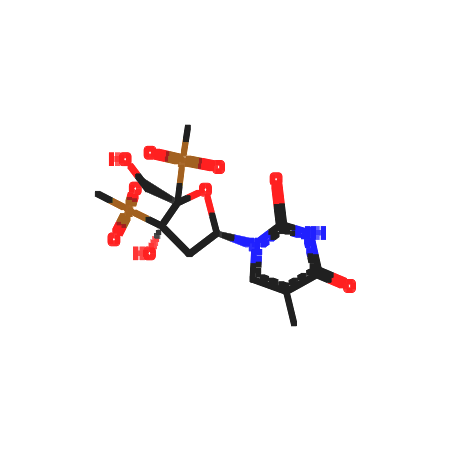 Cc1cn([C@H]2C[C@@](O)(S(C)(=O)=O)[C@](CO)(S(C)(=O)=O)O2)c(=O)[nH]c1=O